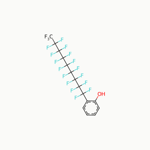 Oc1ccccc1C(F)(F)C(F)(F)C(F)(F)C(F)(F)C(F)(F)C(F)(F)C(F)(F)C(F)(F)C(F)(F)F